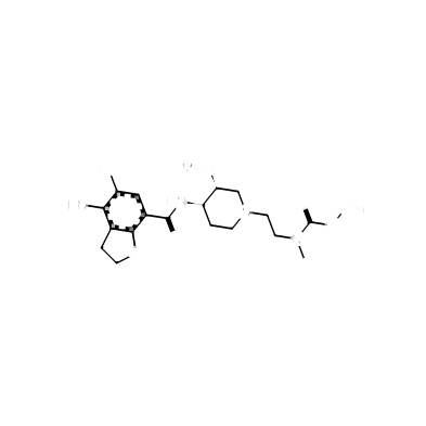 CO[C@H]1CN(CCN(C)C(=O)OC(C)(C)C)CC[C@H]1NC(=O)c1cc(Cl)c(N)c2c1OCC2